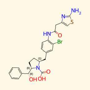 Nc1nc(CC(=O)Nc2ccc(C[C@@H]3CC[C@H]([C@H](O)c4ccccc4)N3C(=O)O)cc2Br)cs1